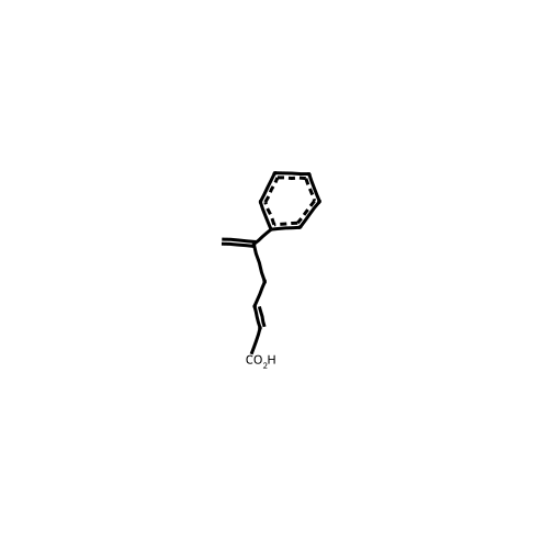 C=C(CC=CC(=O)O)c1ccccc1